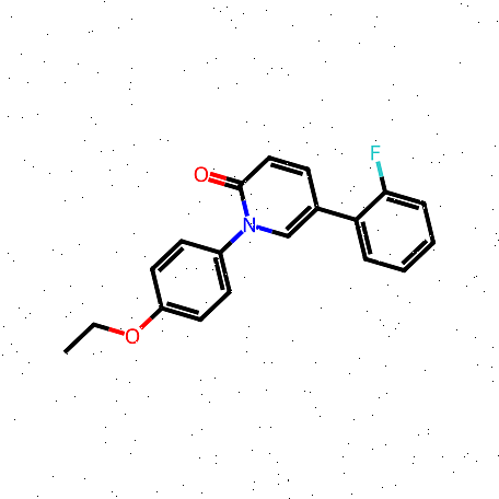 CCOc1ccc(-n2cc(-c3ccccc3F)ccc2=O)cc1